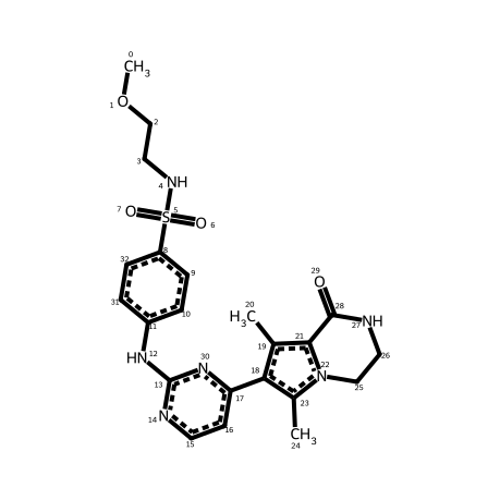 COCCNS(=O)(=O)c1ccc(Nc2nccc(-c3c(C)c4n(c3C)CCNC4=O)n2)cc1